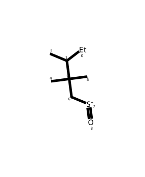 CCC(C)C(C)(C)C[S+]=O